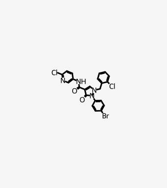 O=C(Nc1ccc(Cl)nc1)c1cn(Cc2ccccc2Cl)n(-c2ccc(Br)cc2)c1=O